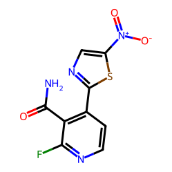 NC(=O)c1c(-c2ncc([N+](=O)[O-])s2)ccnc1F